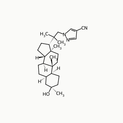 CC(C)(Cn1cc(C#N)cn1)[C@H]1CC[C@H]2[C@@H]3CC[C@@H]4C[C@](C)(O)CC[C@@H]4[C@@]3(C)CC[C@]12C